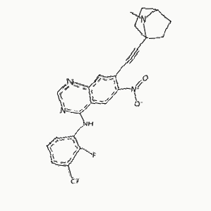 CN1C2CCC1(C#Cc1cc3ncnc(Nc4cccc(Cl)c4F)c3cc1[N+](=O)[O-])CC2